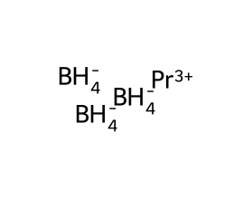 [BH4-].[BH4-].[BH4-].[Pr+3]